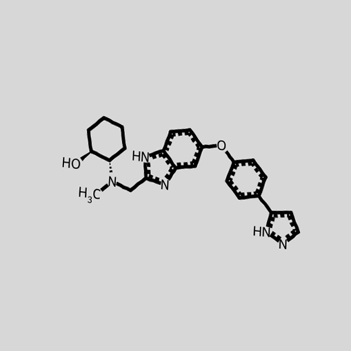 CN(Cc1nc2cc(Oc3ccc(-c4ccn[nH]4)cc3)ccc2[nH]1)[C@H]1CCCC[C@@H]1O